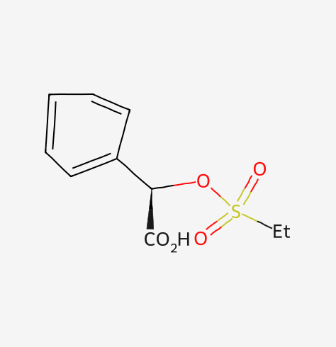 CCS(=O)(=O)O[C@@H](C(=O)O)c1ccccc1